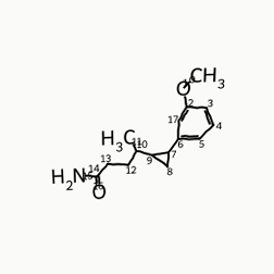 COc1cccc(C2CC2C(C)CCC(N)=O)c1